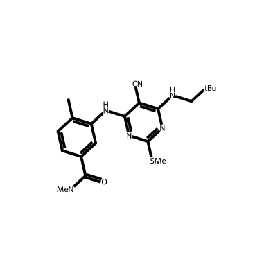 CNC(=O)c1ccc(C)c(Nc2nc(SC)nc(NCC(C)(C)C)c2C#N)c1